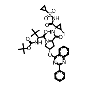 CC(C)(C)OC(=O)NC(C(=O)N1C[C@H](Oc2nc(-c3ccccc3)nc3ccccc23)CC1C(=O)N[C@]1(C(=O)NS(=O)(=O)C2CC2)C[C@H]1I)C(C)(C)C